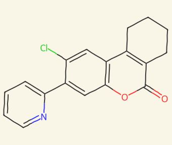 O=c1oc2cc(-c3ccccn3)c(Cl)cc2c2c1CCCC2